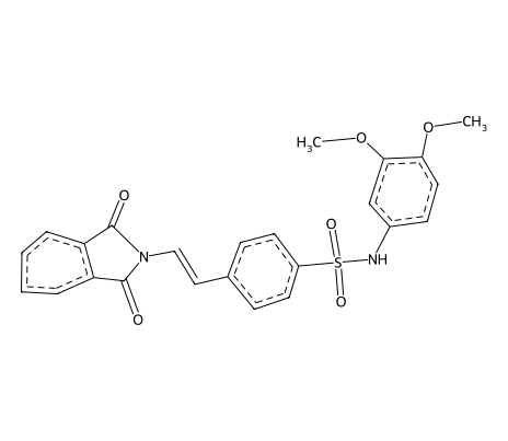 COc1ccc(NS(=O)(=O)c2ccc(/C=C/N3C(=O)c4ccccc4C3=O)cc2)cc1OC